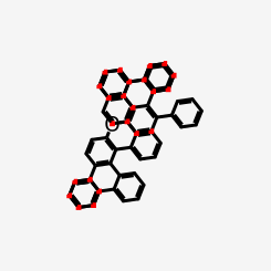 c1ccc(-c2ccccc2-c2c(Oc3ccc(-c4ccccc4)c(-c4ccccc4-c4ccccc4)c3-c3ccccc3-c3ccccc3)ccc(-c3ccccc3)c2-c2ccccc2-c2ccccc2)cc1